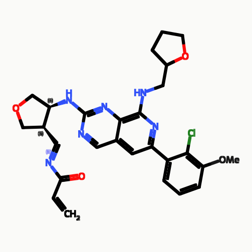 C=CC(=O)/N=C/[C@H]1COC[C@H]1Nc1ncc2cc(-c3cccc(OC)c3Cl)nc(NCC3CCCO3)c2n1